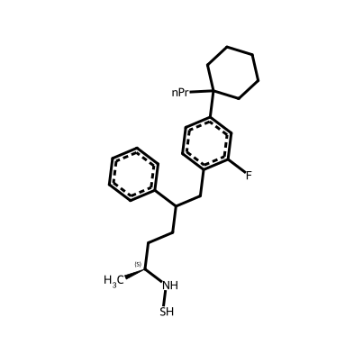 CCCC1(c2ccc(CC(CC[C@H](C)NS)c3ccccc3)c(F)c2)CCCCC1